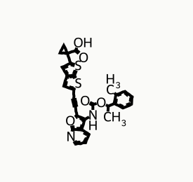 Cc1ccccc1C(C)OC(=O)Nc1c(C#Cc2cc3cc(C4(C(=O)O)CC4)sc3s2)oc2ncccc12